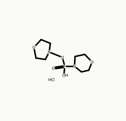 Cl.O=P(O)(ON1CCOCC1)N1CCOCC1